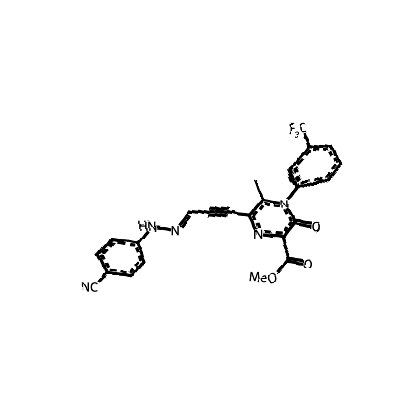 COC(=O)c1nc(C#C/C=N/Nc2ccc(C#N)cc2)c(C)n(-c2cccc(C(F)(F)F)c2)c1=O